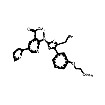 COCCOc1cccc(-c2nc(N(C)c3ncc(-c4cccs4)cc3C(=O)OC)sc2CC(C)C)c1